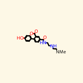 CNCCNCCNC(=O)c1ccc2c(c1)c(=O)oc1cc(O)ccc12